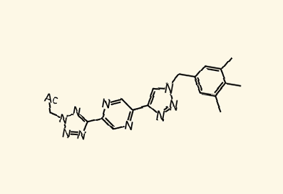 CC(=O)Cn1nnc(-c2cnc(-c3cn(Cc4cc(C)c(C)c(C)c4)nn3)cn2)n1